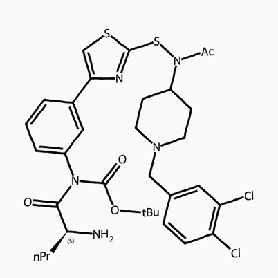 CCC[C@H](N)C(=O)N(C(=O)OC(C)(C)C)c1cccc(-c2csc(SN(C(C)=O)C3CCN(Cc4ccc(Cl)c(Cl)c4)CC3)n2)c1